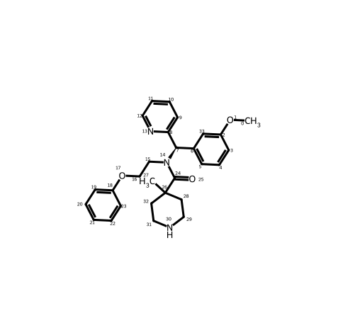 COc1cccc([C@H](c2ccccn2)N(CCOc2ccccc2)C(=O)C2(C)CCNCC2)c1